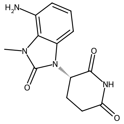 Cn1c(=O)n([C@H]2CCC(=O)NC2=O)c2cccc(N)c21